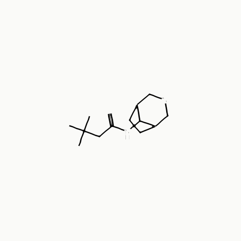 CC(C)(C)CC(=O)NC1C2CCC1CNC2